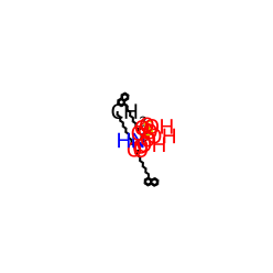 CCCCCCCCCCCCC(OC(=O)CCCCCCCCc1cccc2ccccc12)C(=O)N[C@H]1C(O)O[C@H](CO)[C@@H](OS(=O)(=O)O)[C@@H]1OC(=O)CCCCCCCCc1cccc2ccccc12